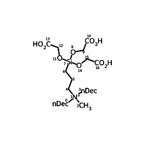 CCCCCCCCCC[N+](C)(CCCCCCCCCC)CCC[Si](OCC(=O)O)(OCC(=O)O)OCC(=O)O